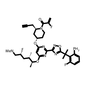 C#CC[C@@H]1C[C@@H](Oc2cc(O[C@@H](C)[C@@H](C)C[C@@H](F)CNC)nc(-c3noc(C(C)(C)c4c(F)cccc4P)n3)n2)CCN1C(=O)C(=C)F